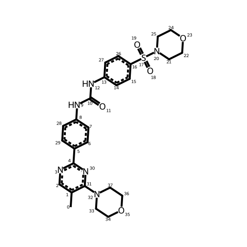 Cc1cnc(-c2ccc(NC(=O)Nc3ccc(S(=O)(=O)N4CCOCC4)cc3)cc2)nc1N1CCOCC1